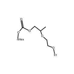 CCCCCCOC(=O)OCC(C)OCCOCC